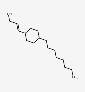 CCCCCCCCC1CCC(C=CCO)CC1